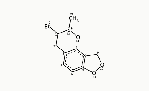 CCC(Cc1ccc2c(c1)COO2)[S+](C)[O-]